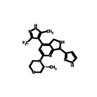 Cc1[nH]nc(C(F)(F)F)c1-c1cc(N2CCOC[C@H]2C)nc2c1CNN2c1cc[nH]n1